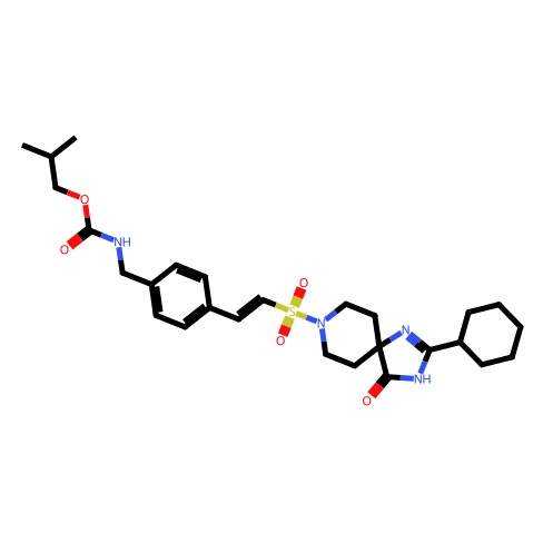 CC(C)COC(=O)NCc1ccc(/C=C/S(=O)(=O)N2CCC3(CC2)N=C(C2CCCCC2)NC3=O)cc1